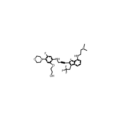 CN(C)CCNc1cccc2c(CC(F)(F)F)c(C#CCNc3cc(F)c(N4CCOCC4)cc3OCCO)sc12